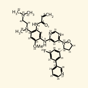 C=CC(=O)Nc1cc(Nc2cc(N3OCC[C@@H]3c3cc(F)cc(-c4cccnc4)c3)ncn2)c(OC)cc1N(C)CCN(C)C